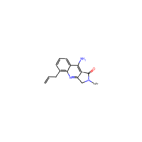 C=CCc1cccc2c(N)c3c(nc12)CN(CCC)C3=O